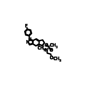 COCCN(C[C@H]1CCC2=Cc3c(cnn3-c3ccc(F)cc3)C[C@@]21C)S(C)(=O)=O